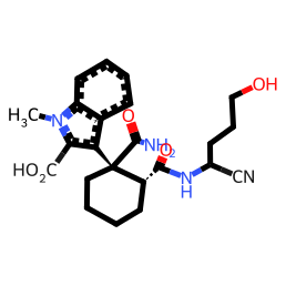 Cn1c(C(=O)O)c([C@]2(C(N)=O)CCCC[C@H]2C(=O)NC(C#N)CCCO)c2ccccc21